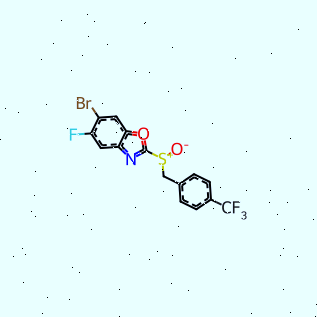 [O-][S+](Cc1ccc(C(F)(F)F)cc1)c1nc2cc(F)c(Br)cc2o1